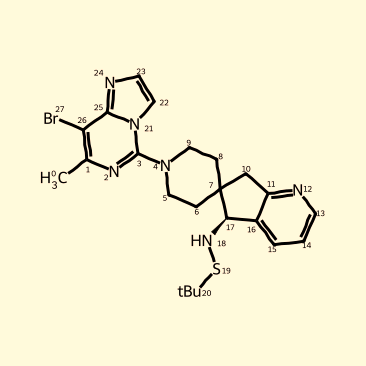 Cc1nc(N2CCC3(CC2)Cc2ncccc2[C@H]3NSC(C)(C)C)n2ccnc2c1Br